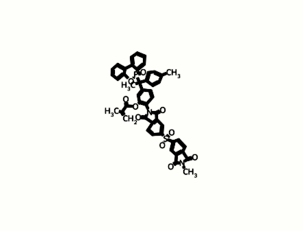 C=C(C)C(=O)Oc1cc(C(C)(c2ccc(C)cc2)P2(=O)Oc3ccccc3-c3ccccc32)ccc1N1C(=O)c2ccc(S(=O)(=O)c3ccc4c(c3)C(=O)N(C)C4=O)cc2C1=O